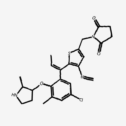 C=Nc1cc(CN2C(=O)CCC2=O)sc1/C(=C\C)c1cc(Cl)cc(C)c1OC1CCNC1C